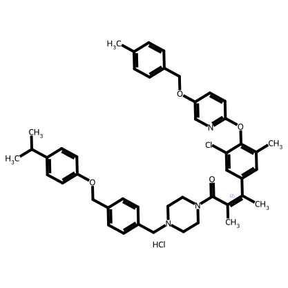 C/C(C(=O)N1CCN(Cc2ccc(COc3ccc(C(C)C)cc3)cc2)CC1)=C(\C)c1cc(C)c(Oc2ccc(OCc3ccc(C)cc3)cn2)c(Cl)c1.Cl